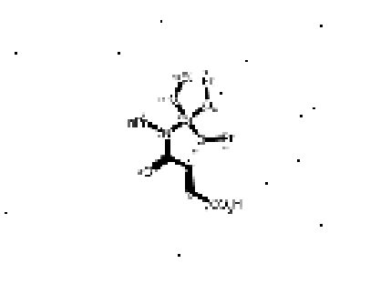 CCCN(C(=O)C=CC(=O)O)[Si](OCC)(OCC)OCC